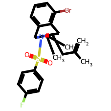 C=C(C)CC1C2c3c(Br)cccc3C(CC2(C)C)N1S(=O)(=O)c1ccc(F)cc1